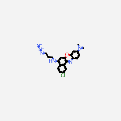 C[N+](C)=c1ccc2nc3c(cc(NCCCN=[N+]=[N-])c4ccccc43)oc-2c1.[Cl-]